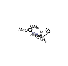 CCCCC/C(=C\C=C\C(=O)N[C@H](C)CCCc1cccnc1)c1cc(OC)cc(OC)c1